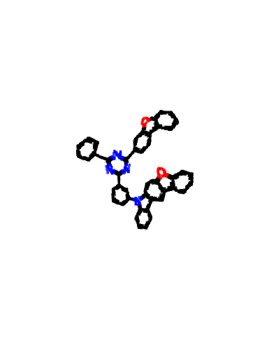 c1ccc(-c2nc(-c3cccc(-n4c5ccccc5c5cc6c(cc54)oc4ccccc46)c3)nc(-c3ccc4c(c3)oc3ccccc34)n2)cc1